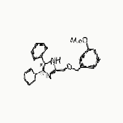 COc1cccc(COCC2=N[C@@H](C3C=CC=CC3)[C@@H](c3ccccc3)N2)c1